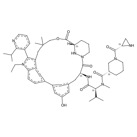 CCn1c(-c2cccnc2C(C)C)c2c3cc(ccc31)-c1cc(O)cc(c1)C[C@H](NC(=O)[C@H](C(C)C)N(C)C(=O)[C@H]1CCCN(C(=O)[C@@H]3CN3)C1)C(=O)N1CCC[C@H](N1)C(=O)OCC(C)(C)C2